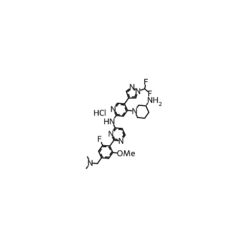 COc1cc(CN(C)C)cc(F)c1-c1nccc(Nc2cc(N3CCC[C@H](N)C3)c(-c3cnn(C(F)F)c3)cn2)n1.Cl